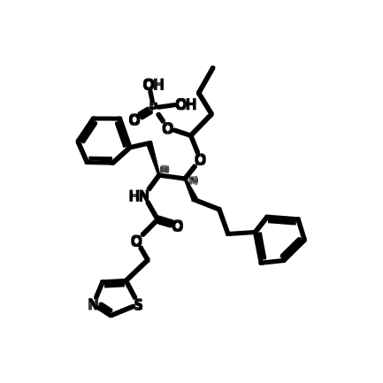 CCCC(O[C@@H](CCCc1ccccc1)[C@H](Cc1ccccc1)NC(=O)OCc1cncs1)OP(=O)(O)O